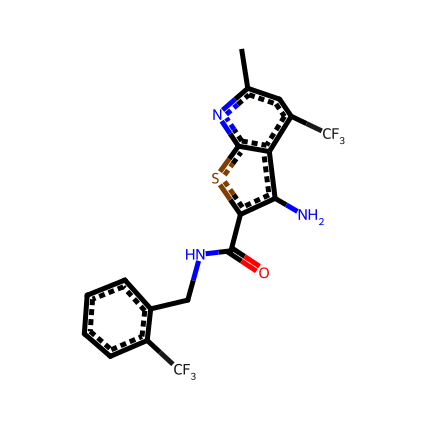 Cc1cc(C(F)(F)F)c2c(N)c(C(=O)NCc3ccccc3C(F)(F)F)sc2n1